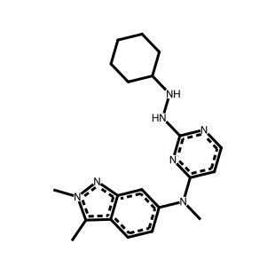 Cc1c2ccc(N(C)c3ccnc(NNC4CCCCC4)n3)cc2nn1C